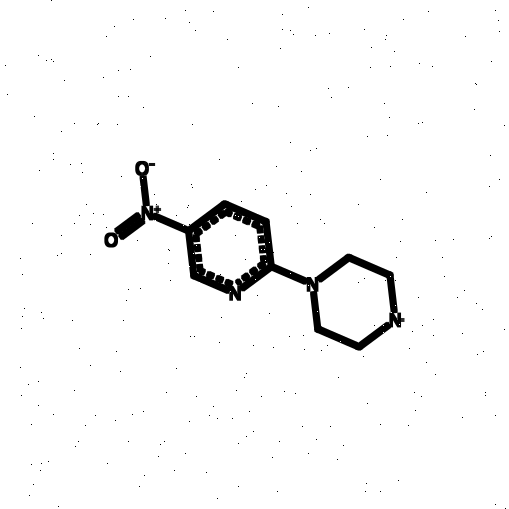 O=[N+]([O-])c1ccc(N2CC[N]CC2)nc1